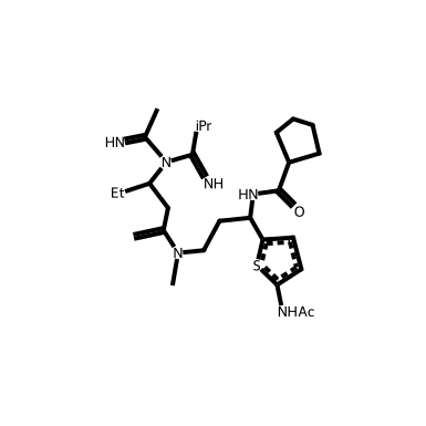 C=C(CC(CC)N(C(C)=N)C(=N)C(C)C)N(C)CCC(NC(=O)C1CCCC1)c1ccc(NC(C)=O)s1